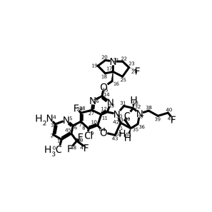 Cc1cc(N)nc(-c2c(Cl)c3c4c(nc(OC[C@@]56CCCN5C[C@H](F)C6)nc4c2F)N2C[C@H]4CC[C@H](CN4CCCF)[C@H]2CO3)c1C(F)(F)F